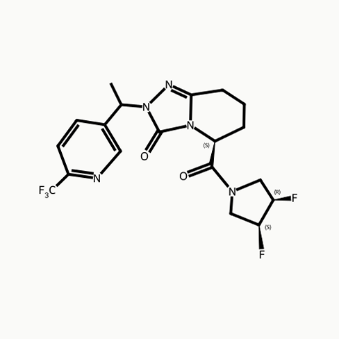 CC(c1ccc(C(F)(F)F)nc1)n1nc2n(c1=O)[C@H](C(=O)N1C[C@@H](F)[C@@H](F)C1)CCC2